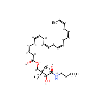 CC/C=C\C/C=C\C/C=C\C/C=C\C/C=C\C/C=C\CC(=O)OCC(C)(C)C(O)C(=O)NCCC(=O)O